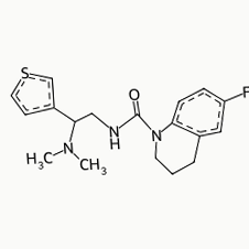 CN(C)C(CNC(=O)N1CCCc2cc(F)ccc21)c1ccsc1